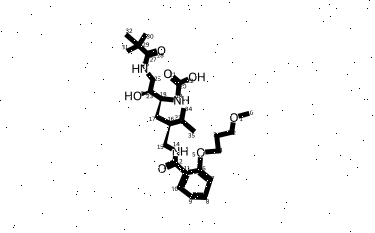 COCCCOc1ccccc1C(=O)NC[C@@H](C[C@H](NC(=O)O)[C@@H](O)CNC(=O)C(C)(C)C)C(C)C